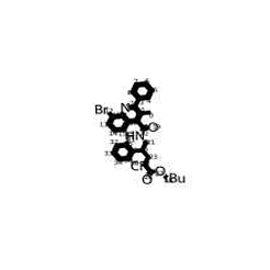 Cc1c(-c2ccccc2)nc2c(Br)cccc2c1C(=O)NCC(CCC(=O)OC(C)(C)C)c1c(F)cccc1C(F)(F)F